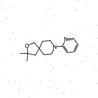 CC1(C)CC2(CCN(c3ccccn3)CC2)CO1